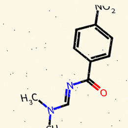 CN(C)C=NC(=O)c1ccc([N+](=O)[O-])cc1